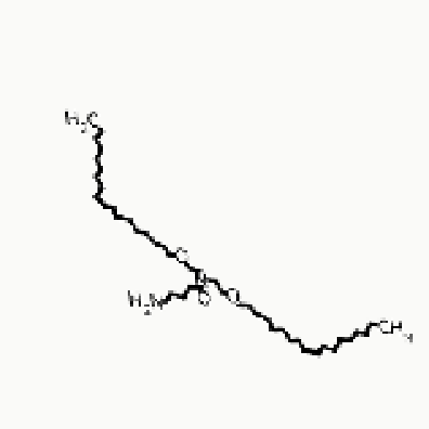 CCCCCCCC/C=C\CCCCCCCCOCCN(CCOCCCCCCCC/C=C\CCCCCCCC)C(=O)CCCCN